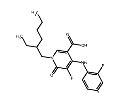 CCCCC(CC)Cn1cc(C(=O)O)c(Nc2ccc(Br)cc2F)c(F)c1=O